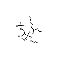 CCCCCC(=O)OCC.CCCCOOC(CC)(C(=O)O)C(CCC)OOC(C)(C)CC